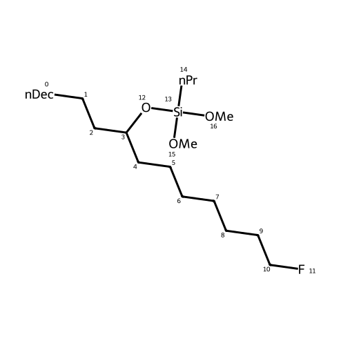 CCCCCCCCCCCCC(CCCCCCCF)O[Si](CCC)(OC)OC